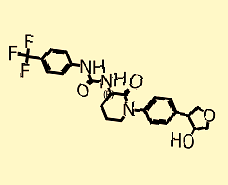 O=C(Nc1ccc(C(F)(F)F)cc1)N[C@@H]1CCCN(c2ccc(C3COCC3O)cc2)C1=O